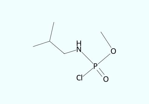 COP(=O)(Cl)NCC(C)C